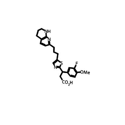 COc1ccc(C(CC(=O)O)c2ncc(CCCc3ccc4c(n3)NCCC4)s2)cc1F